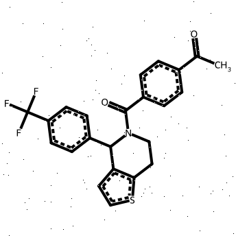 CC(=O)c1ccc(C(=O)N2CCc3sccc3C2c2ccc(C(F)(F)F)cc2)cc1